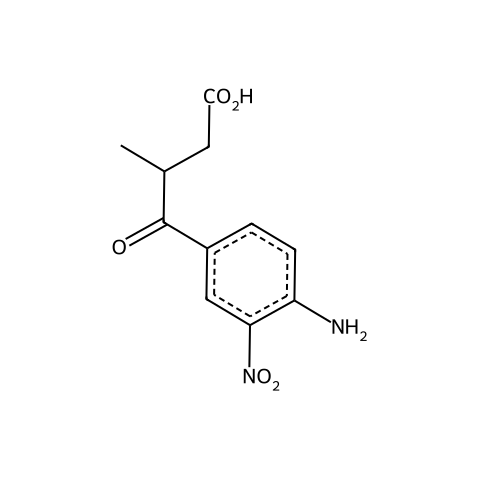 CC(CC(=O)O)C(=O)c1ccc(N)c([N+](=O)[O-])c1